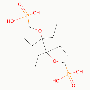 CCC(CC)(OCP(=O)(O)O)C(CC)(CC)OCP(=O)(O)O